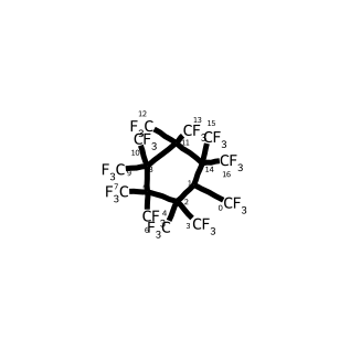 FC(F)(F)C1C(C(F)(F)F)(C(F)(F)F)C(C(F)(F)F)(C(F)(F)F)C(C(F)(F)F)(C(F)(F)F)C(C(F)(F)F)(C(F)(F)F)C1(C(F)(F)F)C(F)(F)F